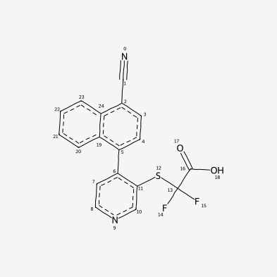 N#Cc1ccc(-c2ccncc2SC(F)(F)C(=O)O)c2ccccc12